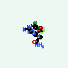 C[C@H](c1ccc(Cl)cc1Cl)n1nc(C#N)c2ncc(N3CCC(N4CCCC4CCC(N)=O)[C@H](COC(=O)C(F)(F)F)C3)nc21